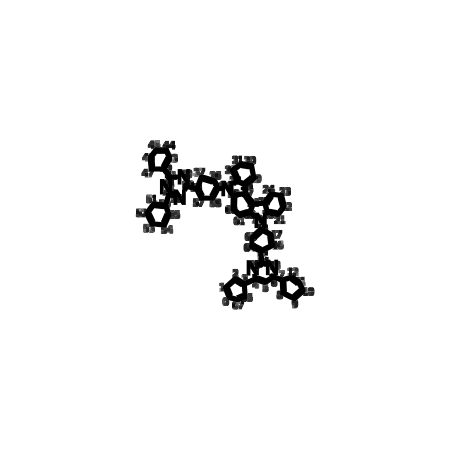 c1ccc(-c2cc(-c3ccccc3)nc(-c3ccc(-n4c5ccccc5c5c6c7ccccc7n(-c7ccc(-c8nc(-c9ccccc9)nc(-c9ccccc9)n8)cc7)c6ccc54)cc3)n2)cc1